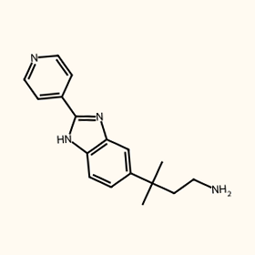 CC(C)(CCN)c1ccc2[nH]c(-c3ccncc3)nc2c1